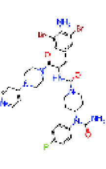 NC(=O)N(c1ccc(F)cc1)C1CCN(C(=O)N[C@H](Cc2cc(Br)c(N)c(Br)c2)C(=O)N2CCN(c3ccncc3)CC2)CC1